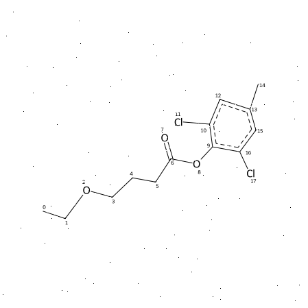 CCOCCCC(=O)Oc1c(Cl)cc(C)cc1Cl